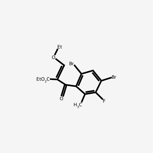 CCOC=C(C(=O)OCC)C(=O)c1c(Br)cc(Br)c(F)c1C